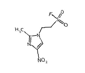 Cc1nc([N+](=O)[O-])cn1CCS(=O)(=O)F